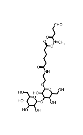 CN(OC(=O)CCCCC(=O)NCCO[C@H]1OC(CO)[C@@H](O)C(O[C@H]2OC(CO)[C@@H](O)C(O)C2O)C1O)C(=O)CCC=O